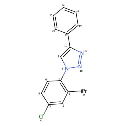 CC(C)c1cc(Cl)ccc1-n1cc(-c2ccccc2)nn1